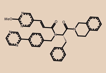 COc1ncc(/C=C/C(=O)N(Cc2ccc(-c3cnccn3)cc2)[C@@H](Cc2ccccc2)C(=O)N2CCc3ccccc3C2)cn1